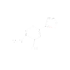 CNc1ccc(-c2ccco2)cc1C